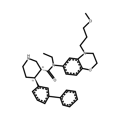 CCN(C(=O)[C@H]1CNCC[C@@H]1c1cccc(-c2ccccc2)c1)c1ccc2c(c1)N(CCCOC)CCO2